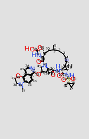 C[C@H]1CC/C=C\[C@@H]2C[C@@]2(C(=O)NS(=O)(=O)C2(C)CC2)NC(=O)[C@@H]2C[C@@H](Oc3nccc4c5c(ccc34)N(C)CCO5)CN2C(=O)[C@@H](NC(=O)O)[C@H](C)C1